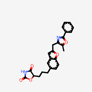 Cc1oc(-c2ccccc2)nc1Cc1cc2cc(CCCC3OC(=O)NC3=O)ccc2o1